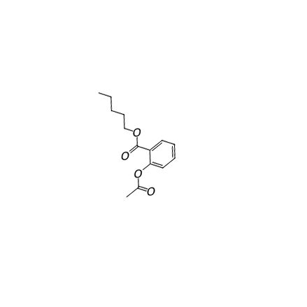 CCCCCOC(=O)c1ccccc1OC(C)=O